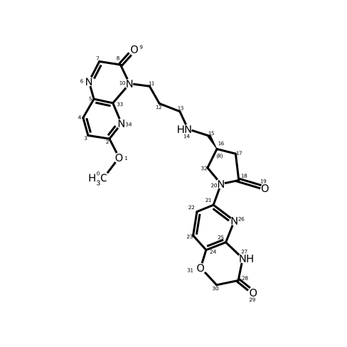 COc1ccc2ncc(=O)n(CCCNC[C@H]3CC(=O)N(c4ccc5c(n4)NC(=O)CO5)C3)c2n1